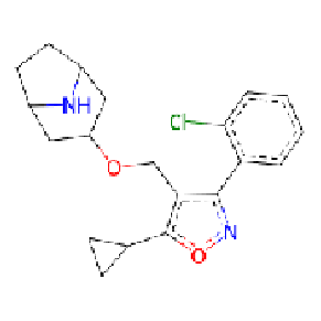 Clc1ccccc1-c1noc(C2CC2)c1COC1CC2CCC(C1)N2